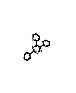 c1ccc(-c2nnc(-c3ccccc3)c(-c3ccccn3)n2)cc1